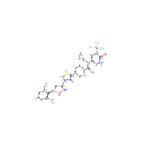 O=C(C(c1c[nH]c(=O)c(C(F)(F)F)c1)C1CC1)N1CCC(c2nc(C3=NO[C@@H](c4c(Cl)cccc4Cl)C3)cs2)CC1